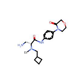 CCN(CC1CCC1)[C@H](CN)C(=O)Nc1ccc(N2CCOCC2=O)cc1